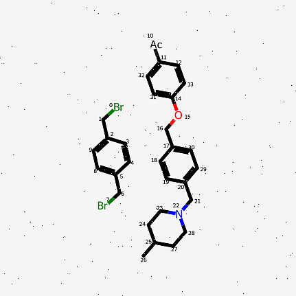 BrCc1ccc(CBr)cc1.CC(=O)c1ccc(OCc2ccc(CN3CCC(C)CC3)cc2)cc1